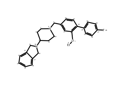 CCOc1cc(CN2CCC(N3Cc4ccccc4C3)CC2)ccc1-c1ccc(F)cc1